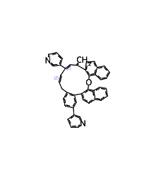 C=C1/C=C(c2cccnc2)\C=C/Cc2ccc(-c3cccnc3)cc2-c2ccc3ccccc3c2Oc2c1ccc1ccccc21